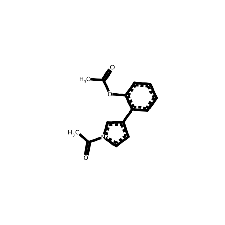 CC(=O)Oc1ccccc1-c1ccn(C(C)=O)c1